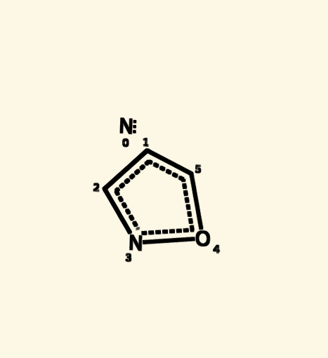 [N].c1cnoc1